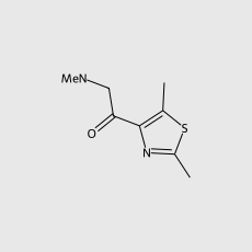 CNCC(=O)c1nc(C)sc1C